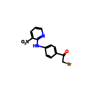 O=C(CBr)c1ccc(Nc2ncccc2[N+](=O)[O-])cc1